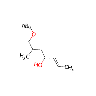 CC=CC(O)CC(C)COCCCC